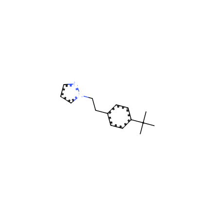 CC(C)(C)c1[c]cc(CCn2cccn2)cc1